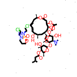 COC1[C@@H](O[C@@H]2O[C@H](C)[C@@H](O[C@H]3C[C@@](C)(O)[C@H](OC(=O)CC(C)C)[C@H](C)O3)[C@H](N(C)C)[C@H]2O)[C@@H](CC=O)C[C@@H](C)[C@@H](O)/C=C/C=C/C[C@@H](C)OC(=O)C[C@H]1OC(C)=O.O=P1(NCCCl)OCCCN1CCCl